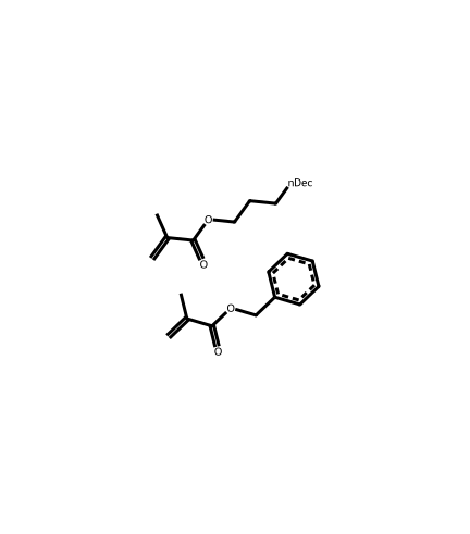 C=C(C)C(=O)OCCCCCCCCCCCCC.C=C(C)C(=O)OCc1ccccc1